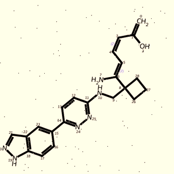 C=C(O)/C=C\C=C(/N)C1(CNc2ccc(-c3ccc4[nH]ncc4c3)nn2)CCC1